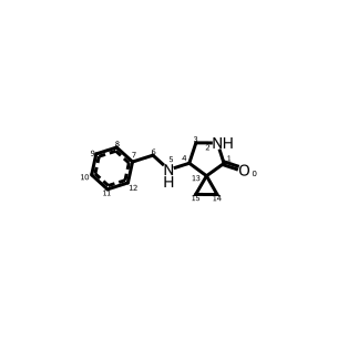 O=C1NCC(NCc2ccccc2)C12CC2